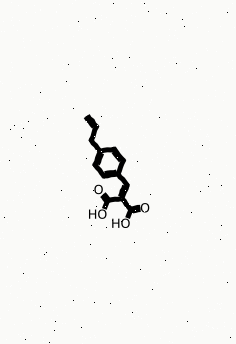 C=CCc1ccc(C=C(C(=O)O)C(=O)O)cc1